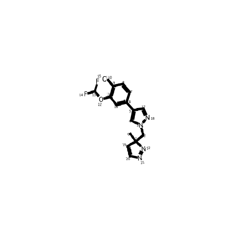 CC1(Cn2cc(-c3ccc(Cl)c(OC(F)F)c3)cn2)C=CN=N1